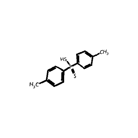 Cc1ccc(P(=S)(S)c2ccc(C)cc2)cc1